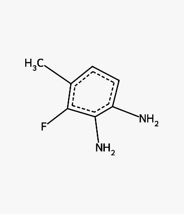 Cc1ccc(N)c(N)c1F